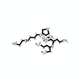 C1CCOC1.C=C.CCCC(CC)OC(CC)CCC.OCCO.[Li][CH2]CCC